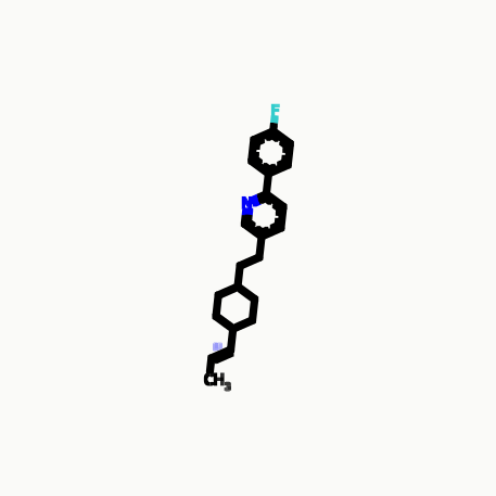 C/C=C/C1CCC(CCc2ccc(-c3ccc(F)cc3)nc2)CC1